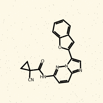 N#CC1(C(=O)Nc2ccc3ncc(-c4cc5ccccc5o4)n3n2)CC1